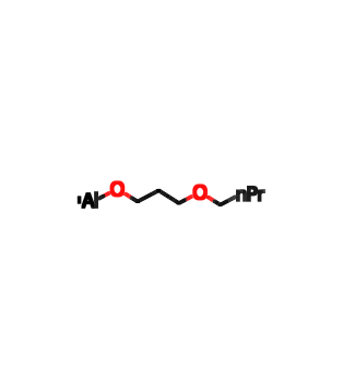 CCCCOCCC[O][Al]